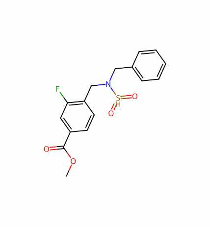 COC(=O)c1ccc(CN(Cc2ccccc2)[SH](=O)=O)c(F)c1